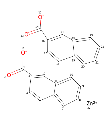 O=C([O-])c1ccc2ccccc2c1.O=C([O-])c1ccc2ccccc2c1.[Zn+2]